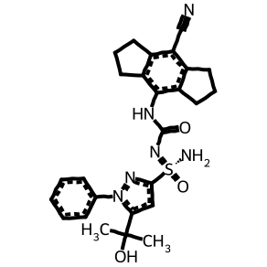 CC(C)(O)c1cc([S@](N)(=O)=NC(=O)Nc2c3c(c(C#N)c4c2CCC4)CCC3)nn1-c1ccccc1